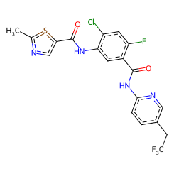 Cc1ncc(C(=O)Nc2cc(C(=O)Nc3ccc(CC(F)(F)F)cn3)c(F)cc2Cl)s1